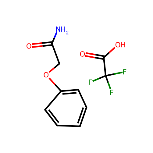 NC(=O)COc1ccccc1.O=C(O)C(F)(F)F